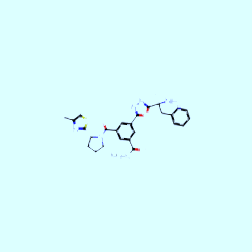 CNC(=O)c1cc(C(=O)N2CCC[C@@H]2c2nc(C)cs2)cc(-c2nnc([C@@](C)(N)Cc3ccccc3)o2)c1